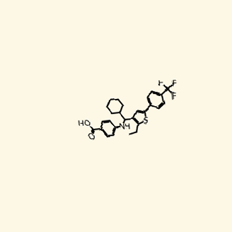 CCc1sc(-c2ccc(C(F)(F)F)cc2)cc1C(Nc1ccc(C(=O)O)cc1)C1CCCCC1